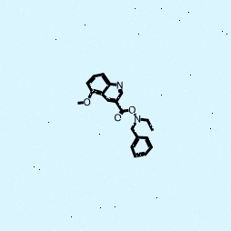 CCN(Cc1ccccc1)OC(=O)c1cnc2cccc(OC)c2c1